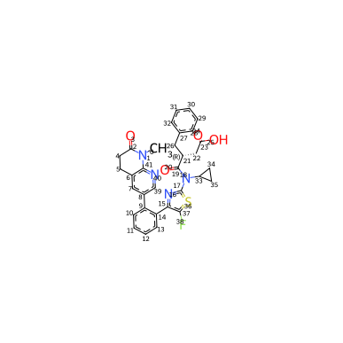 CN1C(=O)CCc2cc(-c3ccccc3-c3nc(N(C(=O)[C@@H](CC(=O)O)Cc4ccccc4)C4CC4)sc3F)cnc21